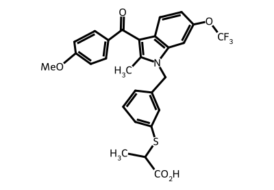 COc1ccc(C(=O)c2c(C)n(Cc3cccc(SC(C)C(=O)O)c3)c3cc(OC(F)(F)F)ccc23)cc1